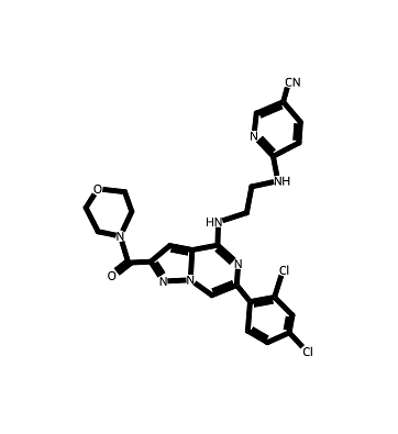 N#Cc1ccc(NCCNc2nc(-c3ccc(Cl)cc3Cl)cn3nc(C(=O)N4CCOCC4)cc23)nc1